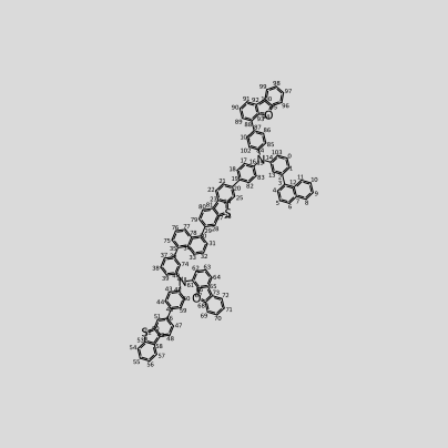 c1cc(-c2cccc3ccccc23)cc(N(c2ccc(-c3ccc4c(c3)sc3cc(-c5cccc6c(-c7cccc(N(c8ccc(-c9ccc%10c(c9)sc9ccccc9%10)cc8)c8cccc9c8oc8ccccc89)c7)cccc56)ccc34)cc2)c2ccc(-c3cccc4c3oc3ccccc34)cc2)c1